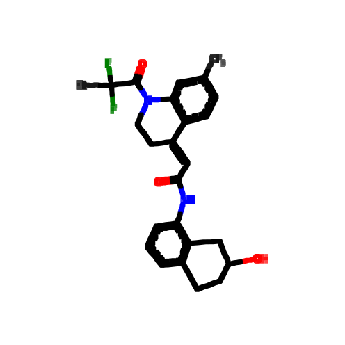 CCC(F)(F)C(=O)N1CC/C(=C\C(=O)Nc2cccc3c2CC(O)CC3)c2ccc(C(F)(F)F)cc21